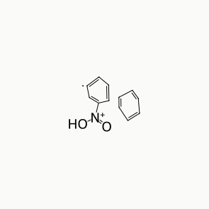 O=[N+](O)c1c[c]ccc1.c1ccccc1